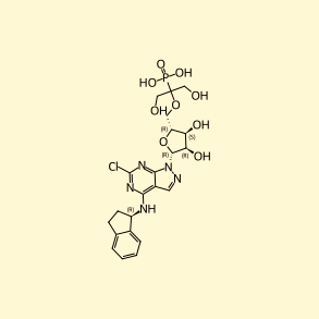 O=P(O)(O)C(CO)(CO)OC[C@H]1O[C@@H](n2ncc3c(N[C@@H]4CCc5ccccc54)nc(Cl)nc32)[C@H](O)[C@@H]1O